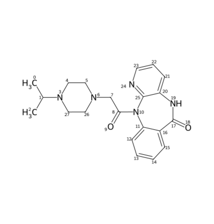 CC(C)N1CCN(CC(=O)N2c3ccccc3C(=O)Nc3cccnc32)CC1